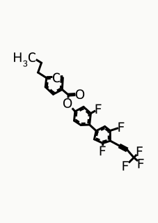 CCCc1ccc(C(=O)Oc2ccc(-c3cc(F)c(C#CC(F)(F)F)c(F)c3)c(F)c2)cc1